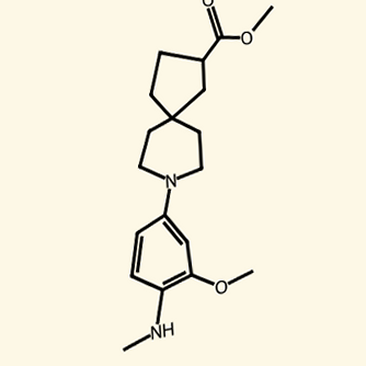 CNc1ccc(N2CCC3(CCC(C(=O)OC)C3)CC2)cc1OC